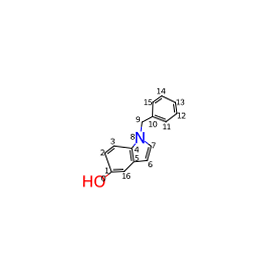 Oc1ccc2c(ccn2Cc2ccccc2)c1